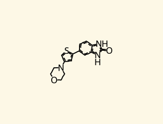 O=c1[nH]c2ccc(-c3cc(N4CCOCC4)cs3)cc2[nH]1